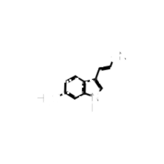 Cc1ccc2c(/C=C/C#N)c[nH]c2c1